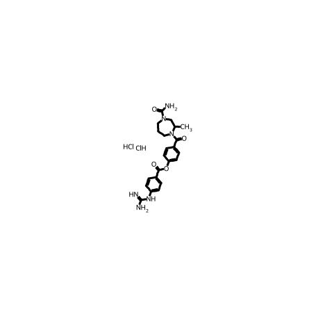 CC1CN(C(N)=O)CCCN1C(=O)c1ccc(OC(=O)c2ccc(NC(=N)N)cc2)cc1.Cl.Cl